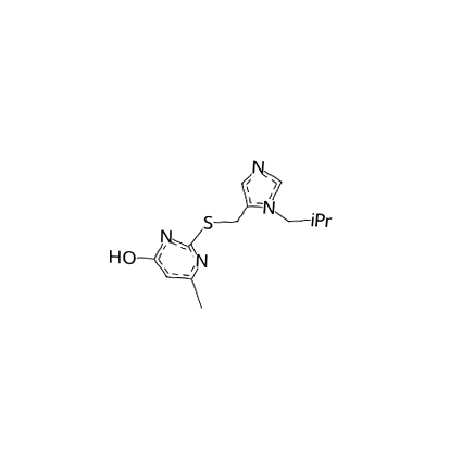 Cc1cc(O)nc(SCc2cncn2CC(C)C)n1